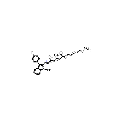 CC(C)n1c(/C=C/[C@H](O)C[C@H](O)CC(=O)OCCOCCO[N+](=O)[O-])c(-c2ccc(F)cc2)c2ccccc21